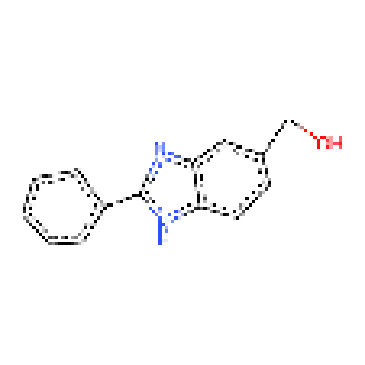 OCc1ccc2[nH]c(-c3ccccc3)nc2c1